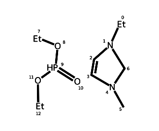 CCN1C=CN(C)C1.CCO[PH](=O)OCC